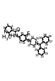 Cc1ncccc1C(=O)Nc1ccc(N2CCN(C(c3ccccc3)c3ccccc3)CC2)c(F)c1